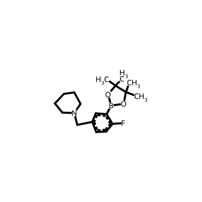 CC1(C)OB(c2cc(CN3CCCCC3)ccc2F)OC1(C)C